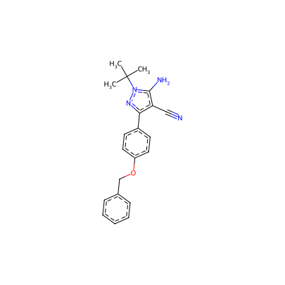 CC(C)(C)n1nc(-c2ccc(OCc3ccccc3)cc2)c(C#N)c1N